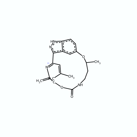 C=C1COC(=O)NCCC(C)Oc2ccc3[nH]nc(c3c2)/C(C=C(C)C)=N/1